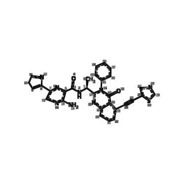 C[C@H](NC(=O)c1nc(C2=CCC=N2)cnc1N)c1nc2cccc(C#Cc3cncs3)c2c(=O)n1-c1ccccc1